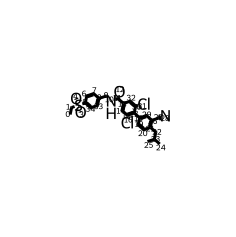 CCS(=O)(=O)c1ccc(CNC(=O)c2cc(Cl)c(-c3ccc(CC(C)C)c(C#N)c3)c(Cl)c2)cc1